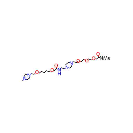 CNC(=O)COCCOCCOCCN1CCN(CCNC(=O)COCCCCCOCCN2CCN(C)CC2)CC1